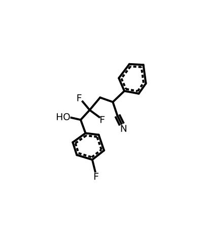 N#CC(CC(F)(F)C(O)c1ccc(F)cc1)c1ccccc1